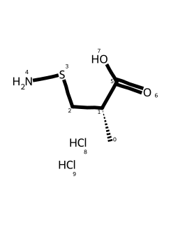 C[C@H](CSN)C(=O)O.Cl.Cl